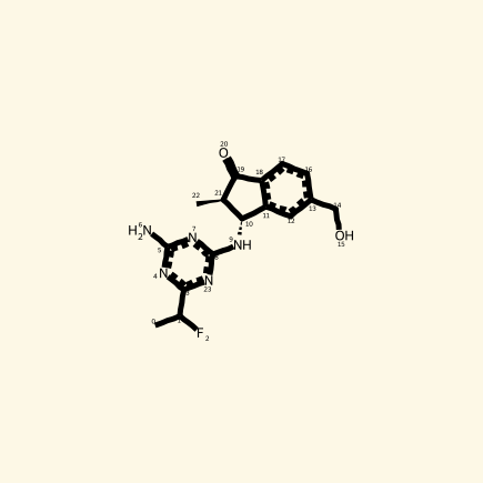 CC(F)c1nc(N)nc(N[C@H]2c3cc(CO)ccc3C(=O)[C@@H]2C)n1